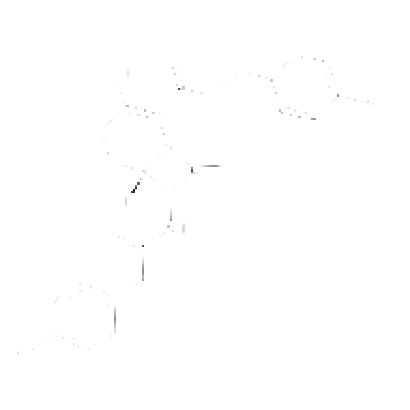 CC1=C(C(=O)OCc2ccc([N+](=O)[O-])cc2)N2C(=O)C(NC(=O)Cc3ccc(Cl)cc3)[C@@H]2SC1